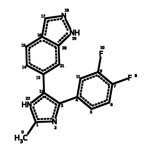 Cc1nc(-c2ccc(F)c(F)c2)c(-c2ccc3cn[nH]c3c2)[nH]1